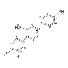 Fc1ccc(-c2ccc(-c3ccc(S)cc3)cc2P)cc1F